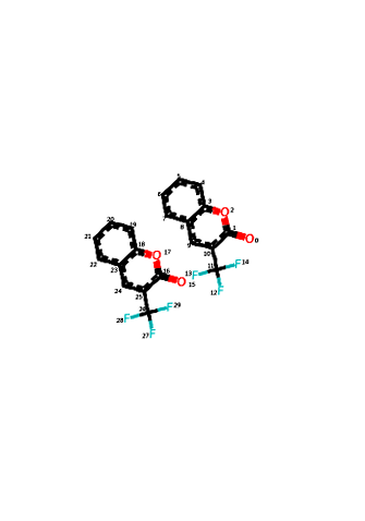 O=c1oc2ccccc2cc1C(F)(F)F.O=c1oc2ccccc2cc1C(F)(F)F